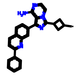 [CH2]C1CC(c2nc(-c3ccc4ccc(-c5ccccc5)nc4c3)c3c(N)nccn23)C1